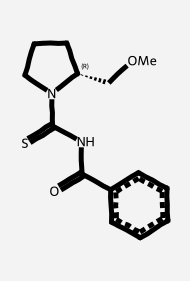 COC[C@H]1CCCN1C(=S)NC(=O)c1ccccc1